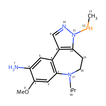 COc1cc2c(cc1N)-c1cnn(PC)c1CCN2C(C)C